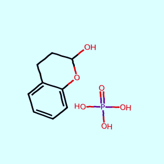 O=P(O)(O)O.OC1CCc2ccccc2O1